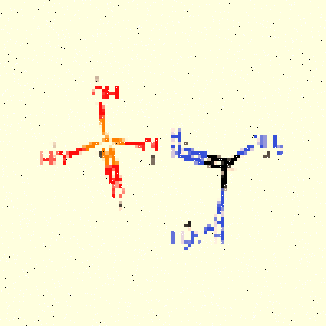 N=C(N)NN.O=P(O)(O)O